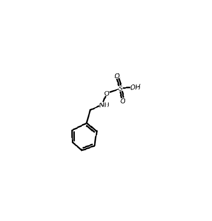 O=S(=O)(O)ONCc1ccccc1